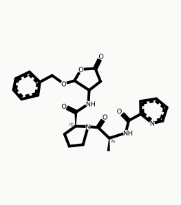 C[C@H](NC(=O)c1ccccn1)C(=O)N1CCC[C@H]1C(=O)NC1CC(=O)OC1OCc1ccccc1